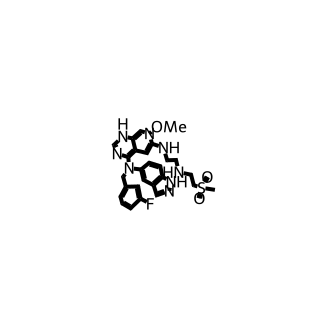 CON1C=C2NC=NC(N(Cc3cccc(F)c3)c3ccc4[nH]ncc4c3)=C2C=C1NCCNCCS(C)(=O)=O